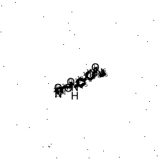 O=C(Nc1ccc(C2CCN(C(=O)N3CCC3)CC2)cc1)OCc1cnco1